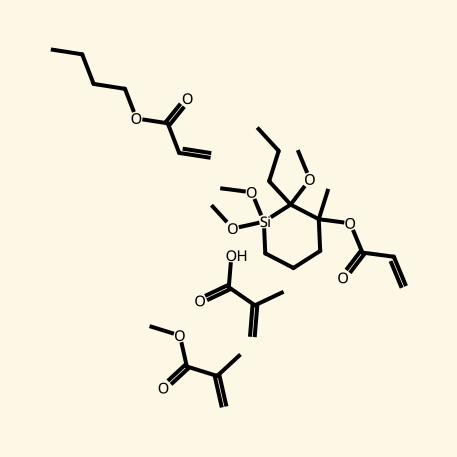 C=C(C)C(=O)O.C=C(C)C(=O)OC.C=CC(=O)OC1(C)CCC[Si](OC)(OC)C1(CCC)OC.C=CC(=O)OCCCC